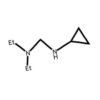 CCN(CC)CNC1CC1